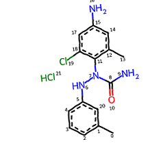 Cc1cccc(NN(C(N)=O)c2c(C)cc(N)cc2Cl)c1.Cl